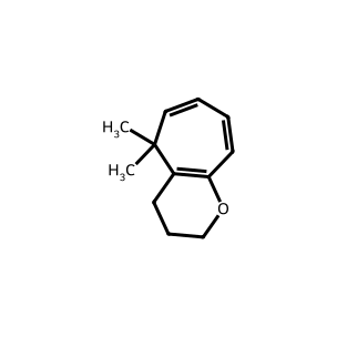 CC1(C)C=CC=CC2=C1CCCO2